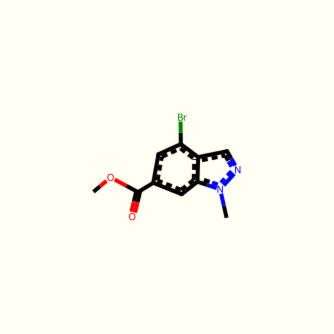 COC(=O)c1cc(Br)c2cnn(C)c2c1